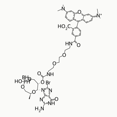 B[PH]1(O)OC[C@H](OC(=O)NCCOCCOCCNC(=O)c2ccc(-c3c4ccc(=[N+](C)C)cc-4oc4cc(N(C)C)ccc34)c(C(=O)O)c2)[C@H](n2c(Br)nc3c(=O)[nH]c(N)nc32)O[C@@H](C)CO1